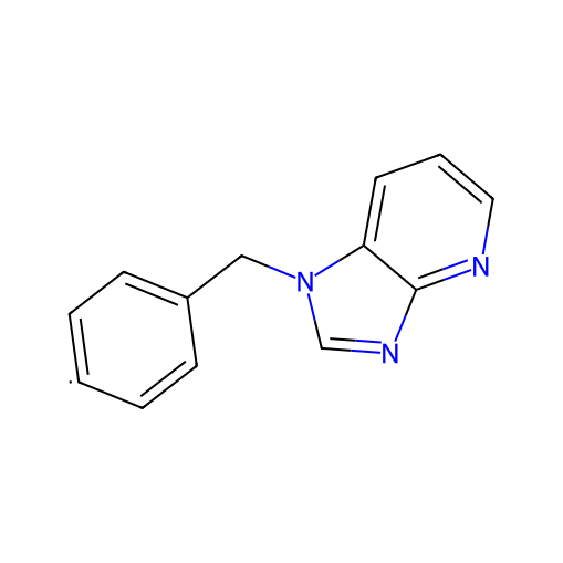 [c]1ccc(Cn2cnc3ncccc32)cc1